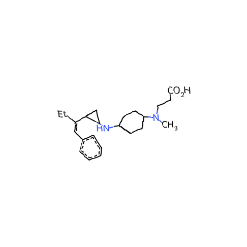 CCC(=Cc1ccccc1)C1CC1NC1CCC(N(C)CCC(=O)O)CC1